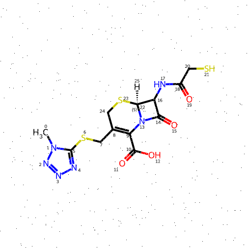 Cn1nnnc1SCC1=C(C(=O)O)N2C(=O)C(NC(=O)CS)[C@@H]2SC1